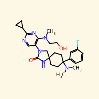 CN(CCO)c1nc(C2CC2)ncc1N1CC2(CCC(c3cccc(F)c3)(N(C)C)CC2)NC1=O